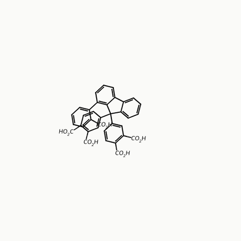 O=C(O)c1ccc(C2(c3ccc(C(=O)O)c(C(=O)O)c3)c3ccccc3-c3cccc(-c4ccccc4C(=O)O)c32)cc1C(=O)O